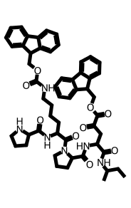 CCC(C)NC(=O)C(CC(=O)C(=O)OCC1c2ccccc2-c2ccccc21)NC(=O)C1CCCN1C(=O)C(CCCCNC(=O)OCC1c2ccccc2-c2ccccc21)NC(=O)C1CCCN1